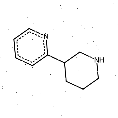 [c]1cccnc1C1CCCNC1